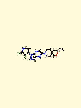 C[C@H]1CC2(CCN(c3cnc4c(cnn4-c4ccnc(Cl)c4Cl)n3)CC2)CO1